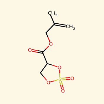 C=C(C)COC(=O)C1COS(=O)(=O)O1